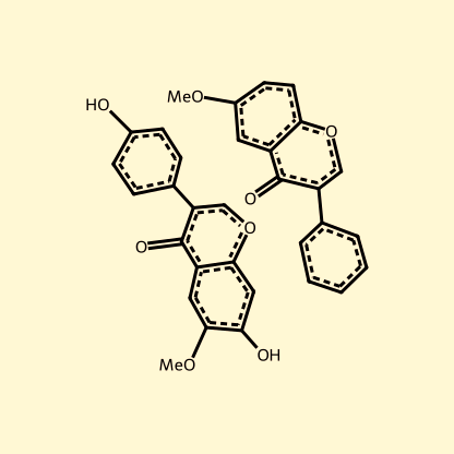 COc1cc2c(=O)c(-c3ccc(O)cc3)coc2cc1O.COc1ccc2occ(-c3ccccc3)c(=O)c2c1